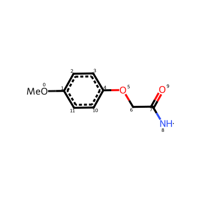 COc1ccc(OCC([NH])=O)cc1